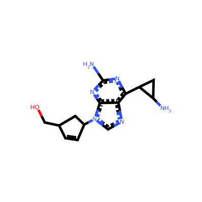 Nc1nc(C2CC2N)c2ncn(C3C=CC(CO)C3)c2n1